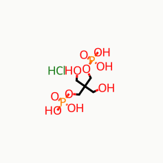 Cl.O=P(O)(O)OCC(CO)(CO)COP(=O)(O)O